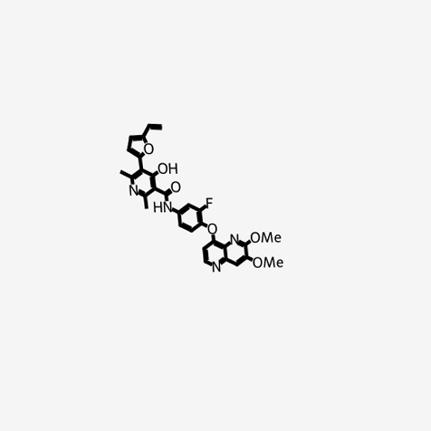 C=Cc1ccc(-c2c(C)nc(C)c(C(=O)Nc3ccc(Oc4ccnc5cc(OC)c(OC)nc45)c(F)c3)c2O)o1